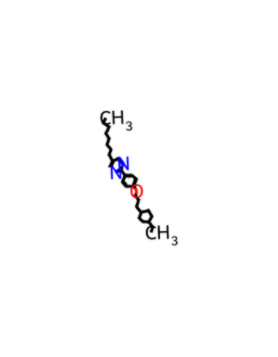 CCCCCCCCc1cnc(-c2ccc(OCCCC3CCC(CC)CC3)cc2)nc1